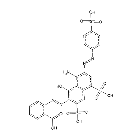 Nc1c(N=Nc2ccc(S(=O)(=O)O)cc2)cc(S(=O)(=O)O)c2cc(S(=O)(=O)O)c(N=Nc3ccccc3C(=O)O)c(O)c12